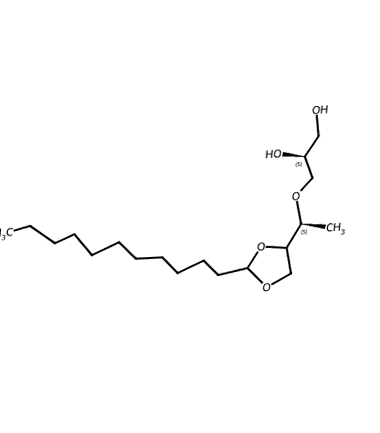 CCCCCCCCCCCC1OCC([C@H](C)OC[C@@H](O)CO)O1